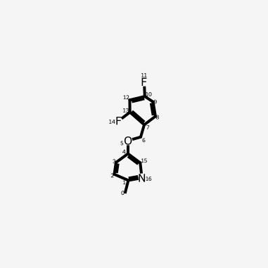 Cc1ccc(OCc2ccc(F)cc2F)cn1